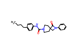 CCCCc1ccc(NC(=O)N2CCC3(CC2)CN(c2ccccc2)C3=O)cc1